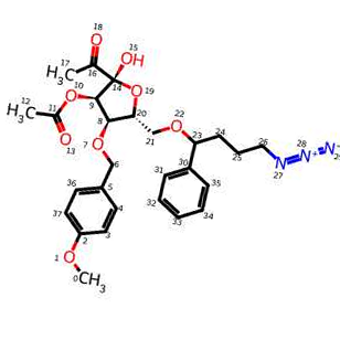 COc1ccc(CO[C@H]2[C@@H](OC(C)=O)[C@](O)(C(C)=O)O[C@@H]2COC(CCCN=[N+]=[N-])c2ccccc2)cc1